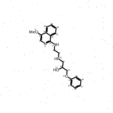 COc1cnc(NCCNCC(O)COc2ccccc2)c2ccccc12